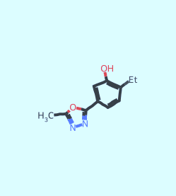 CCc1ccc(-c2nnc(C)o2)cc1O